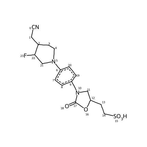 N#CCC1CCN(c2ccc(N3CC(CCS(=O)(=O)O)OC3=O)cc2)CC1F